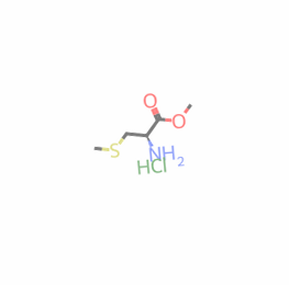 COC(=O)[C@@H](N)CSC.Cl